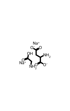 NC(CC(=O)[O-])C(=O)[O-].NCC(=O)O.[Na+].[Na+]